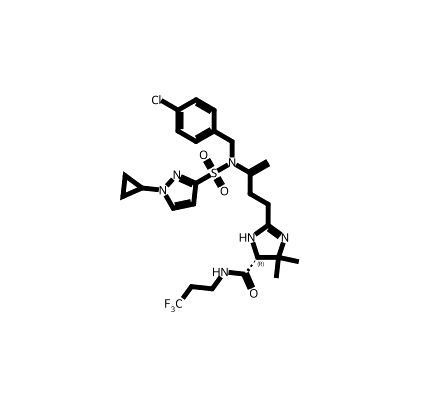 C=C(CCC1=NC(C)(C)[C@H](C(=O)NCCC(F)(F)F)N1)N(Cc1ccc(Cl)cc1)S(=O)(=O)c1ccn(C2CC2)n1